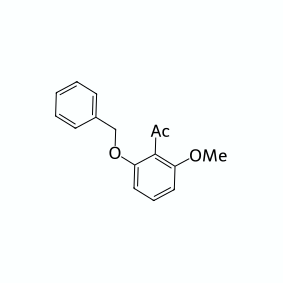 COc1cccc(OCc2ccccc2)c1C(C)=O